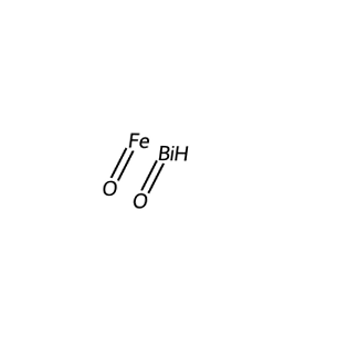 [O]=[BiH].[O]=[Fe]